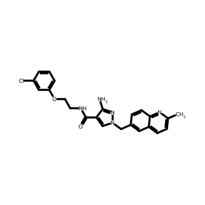 Cc1ccc2cc(Cn3cc(C(=O)NCCOc4cccc(Cl)c4)c(N)n3)ccc2n1